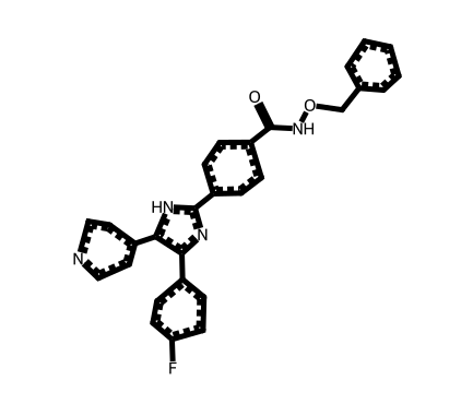 O=C(NOCc1ccccc1)c1ccc(-c2nc(-c3ccc(F)cc3)c(-c3ccncc3)[nH]2)cc1